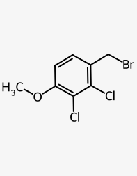 COc1ccc(CBr)c(Cl)c1Cl